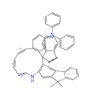 CC1(C)c2ccccc2-c2cc3c(cc21)N/C=C/C=C\C=C/c1ccc(N(c2ccccc2)c2ccccc2)cc1C31c2ccccc2-c2ccccc21